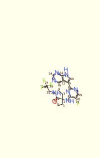 CCC(CC)(Nc1nc(-c2c[nH]c3ncncc23)ncc1F)C(=O)NCC(F)(F)F